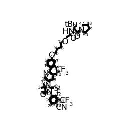 CC(C)(C)C(NC(=O)COCCCCOc1ccc(-c2ncc(N3C(=S)N(c4ccc(C#N)c(C(F)(F)F)c4F)C(=O)C3(C)C)cc2F)c(C(F)(F)F)c1)C(=O)N1CCCC1